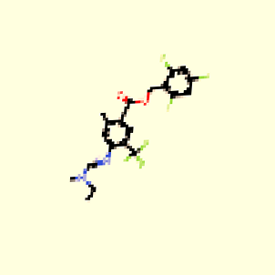 CCN(C)/C=N/c1cc(C)c(C(=O)OCc2c(F)cc(F)cc2F)cc1C(F)(F)F